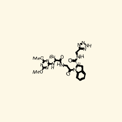 CCC(C)C(Nc1nc(OC)nc(OC)n1)C(=O)NCC(=O)N1c2ccccc2C[C@H]1C(=O)NCc1nn[nH]n1